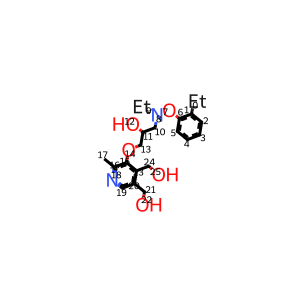 CCc1ccccc1ON(CC)CC(O)COc1c(C)ncc(CO)c1CO